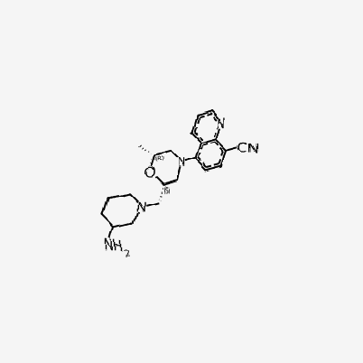 C[C@@H]1CN(c2ccc(C#N)c3ncccc23)C[C@H](CN2CCCC(N)C2)O1